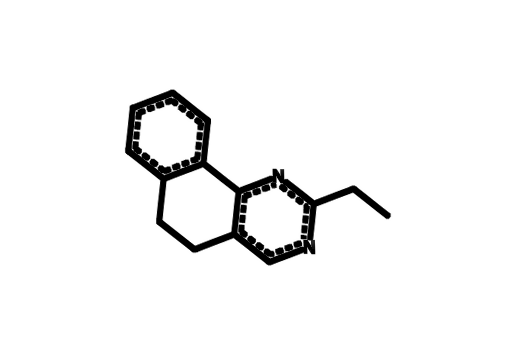 CCc1ncc2c(n1)-c1ccccc1CC2